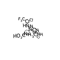 CC1(Nc2ncc3nc(Nc4cc(Cl)cc(C(F)(F)F)c4)n(C4CCN(C(=O)O)CC4)c3n2)CCC1